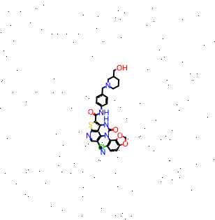 N#Cc1cnc2sc(C(=O)Nc3ccc(CN4CCCC(CO)C4)cc3)c3c2c1N(c1c(Cl)ccc2c1OCO2)C(=O)N3